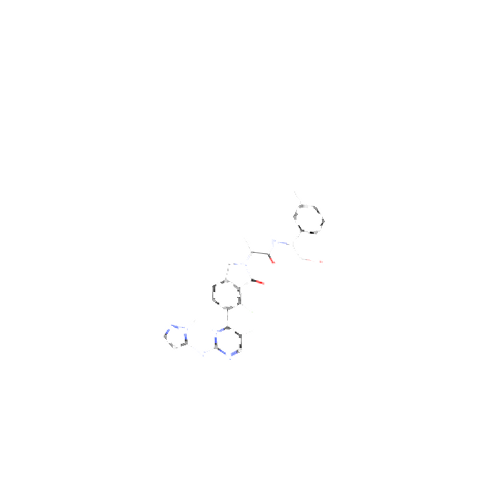 Cc1cccc(C(CO)NC(=O)C(C)N2Cc3ccc(-c4nc(Nc5ccnn5C)ncc4Cl)c(F)c3C2=O)c1